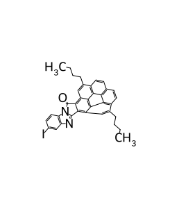 CCCCc1cc2c3c(=O)n4c5ccc(I)cc5nc4c3c3cc(CCCC)c4ccc5ccc1c1c5c4c3c21